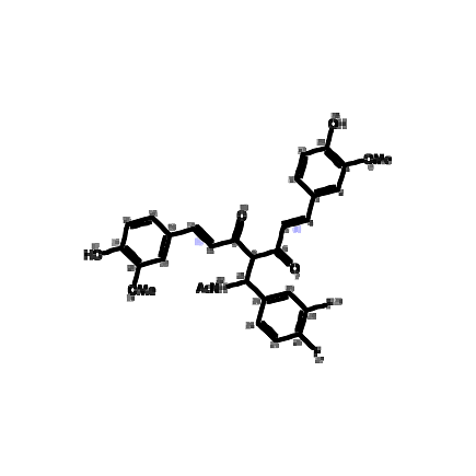 COc1cc(/C=C/C(=O)C(C(=O)/C=C/c2ccc(O)c(OC)c2)C(NC(C)=O)c2ccc(F)c(F)c2)ccc1O